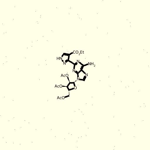 CCOC(=O)c1c[nH]nc1-c1nc(N)c2ncn([C@@H]3O[C@H](COC(C)=O)[C@@H](OC(C)=O)[C@H]3OC(C)=O)c2n1